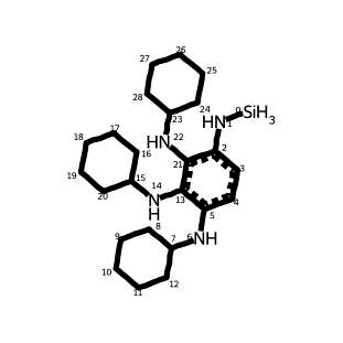 [SiH3]Nc1ccc(NC2CCCCC2)c(NC2CCCCC2)c1NC1CCCCC1